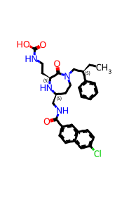 CC[C@H](CN1CC[C@@H](CNC(=O)c2ccc3cc(Cl)ccc3c2)N[C@@H](CCNC(=O)O)C1=O)c1ccccc1